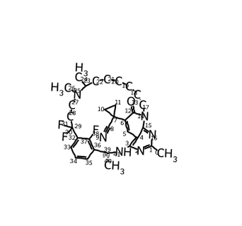 Cc1nc2c3cc(C4(C#N)CC4)c(=O)n(c3n1)CCCCCCC(C)N(C)CCC(F)(F)c1cccc(c1F)[C@@H](C)N2